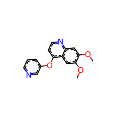 COc1cc2nccc(Oc3cccnc3)c2cc1OC